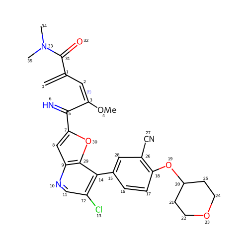 C=C(/C=C(/OC)C(=N)c1cc2ncc(Cl)c(-c3ccc(OC4CCOCC4)c(C#N)c3)c2o1)C(=O)N(C)C